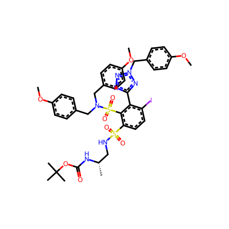 COc1ccc(CN(Cc2ccc(OC)cc2)S(=O)(=O)c2c(S(=O)(=O)NC[C@H](C)NC(=O)OC(C)(C)C)ccc(I)c2-c2nnn(Cc3ccc(OC)cc3)n2)cc1